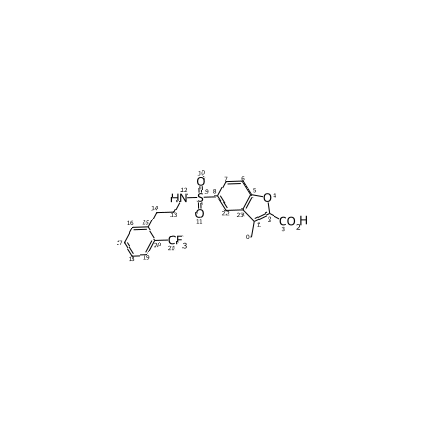 Cc1c(C(=O)O)oc2ccc(S(=O)(=O)NCCc3ccccc3C(F)(F)F)cc12